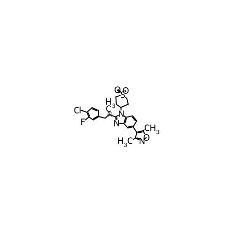 Cc1noc(C)c1-c1ccc2c(c1)nc([C@@H](C)Cc1ccc(Cl)c(F)c1)n2C1CCS(=O)(=O)CC1